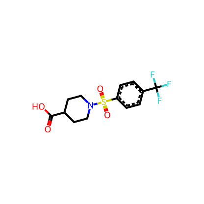 O=C(O)C1CCN(S(=O)(=O)c2ccc(C(F)(F)F)cc2)CC1